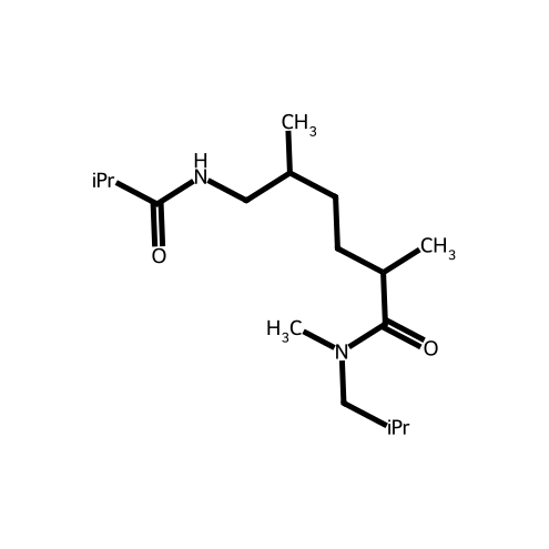 CC(C)CN(C)C(=O)C(C)CCC(C)CNC(=O)C(C)C